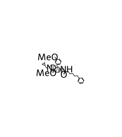 COc1cccc([C@@]23CCN(CC4CC4)C[C@@]2(OC)CC[C@@H](NC(=O)CCCCCc2ccccc2)C3)c1